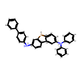 c1ccc(-c2ccc(Nc3ccc4c(c3)sc3ccc(N(c5ccccc5)c5ccccc5)cc34)cc2)cc1